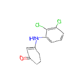 O=C1C=C(Nc2cccc(Cl)c2Cl)CCC1